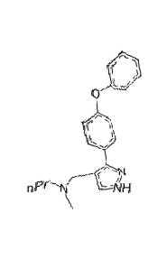 CCCN(C)Cc1c[nH]nc1-c1ccc(Oc2ccccc2)cc1